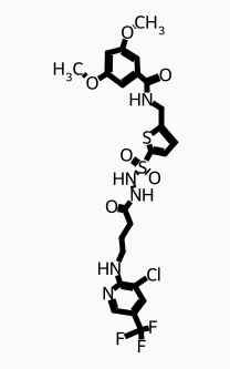 COc1cc(OC)cc(C(=O)NCc2ccc(S(=O)(=O)NNC(=O)CCCNc3ncc(C(F)(F)F)cc3Cl)s2)c1